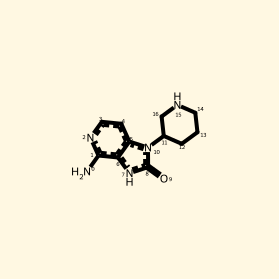 Nc1nccc2c1[nH]c(=O)n2C1CCCNC1